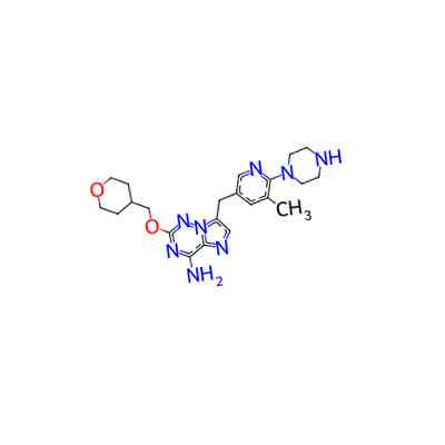 Cc1cc(Cc2cnc3c(N)nc(OCC4CCOCC4)nn23)cnc1N1CCNCC1